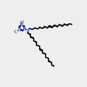 CCCCCCCCC=CCCCCCCCCN(CCCCCCCCC=CCCCCCCCC)N1CN(Cl)CN(Cl)C1